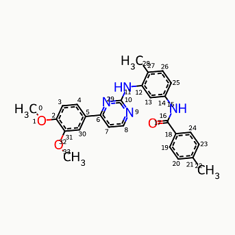 COc1ccc(-c2ccnc(Nc3cc(NC(=O)c4ccc(C)cc4)ccc3C)n2)cc1OC